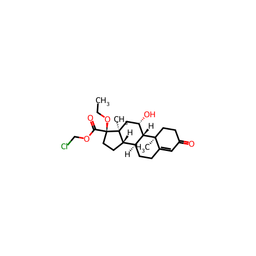 CCO[C@]1(C(=O)OCCl)CC[C@H]2[C@@H]3CCC4=CC(=O)CC[C@]4(C)[C@H]3[C@@H](O)C[C@@]21C